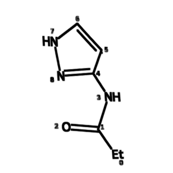 CCC(=O)Nc1[c]c[nH]n1